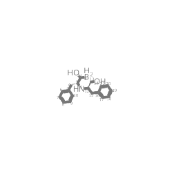 BC(O)[C@@H](Cc1ccccc1)N[C@@H](CO)Cc1ccccc1